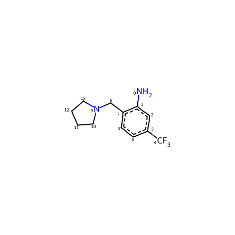 Nc1cc(C(F)(F)F)ccc1CN1CCCC1